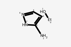 CCO.Nc1ccn[nH]1